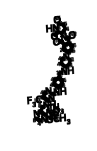 CN(c1nccnc1CNc1nc(Nc2ccc(CNC3CCN(c4ccc5c(c4)C(=O)N(C4CCC(=O)NC4=O)C5=O)CC3)cc2)ncc1C(F)(F)F)S(C)(=O)=O